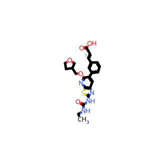 CCNC(=O)Nc1nc2cc(-c3cccc(/C=C/C(=O)O)c3)c(OCC3CCOC3)nc2s1